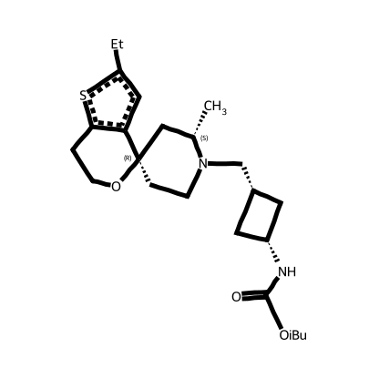 CCc1cc2c(s1)CCO[C@@]21CCN(C[C@H]2C[C@@H](NC(=O)OCC(C)C)C2)[C@@H](C)C1